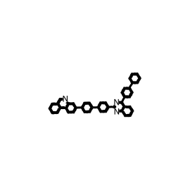 c1ccc(-c2ccc(-c3nc(-c4ccc(-c5ccc(-c6ccc7c(c6)ncc6ccccc67)cc5)cc4)nc4ccccc34)cc2)cc1